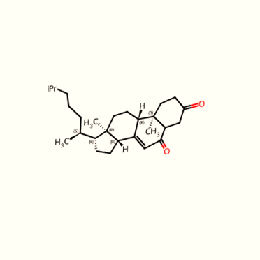 CC(C)CCC[C@H](C)[C@H]1CC[C@H]2C3=CC(=O)C4CC(=O)CC[C@]4(C)[C@H]3CC[C@]12C